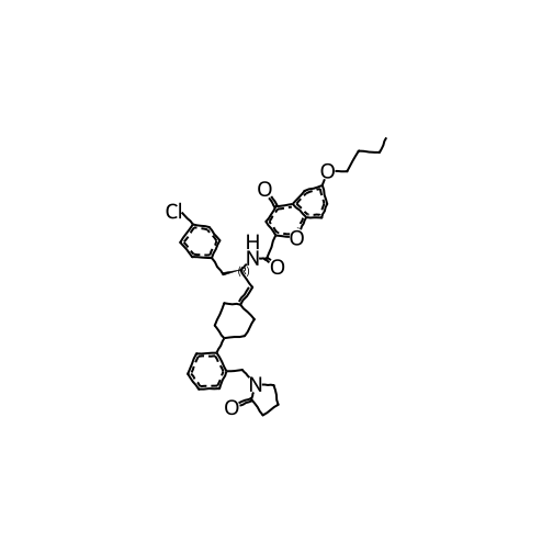 CCCCOc1ccc2oc(C(=O)N[C@@H](C=C3CCC(c4ccccc4CN4CCCC4=O)CC3)Cc3ccc(Cl)cc3)cc(=O)c2c1